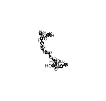 Cc1ncsc1-c1ccc(CNC(=O)[C@@H]2C[C@@H](O)CN2C(=O)[C@@H](NC(=O)CCOCCC(=O)N2CCN(Cc3cnc(N4CC=C(c5cc(NC(=O)c6c[nH]c(=O)cc6C(F)(F)F)c(N6C[C@@H](C)N(C)[C@@H](C)C6)cc5F)CC4)nc3)CC2)C(C)(C)C)cc1